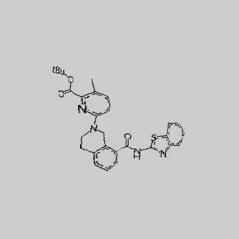 Cc1ccc(N2CCc3cccc(C(=O)Nc4nc5ccccc5s4)c3C2)nc1C(=O)OC(C)(C)C